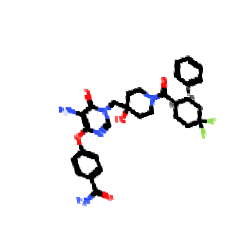 NC(=O)c1ccc(Oc2ncn(CC3(O)CCN(C(=O)[C@@H]4CCC(F)(F)C[C@H]4c4ccccc4)CC3)c(=O)c2N)cc1